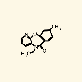 CCN1C(=O)c2ccc(C)cc2Oc2ncccc21